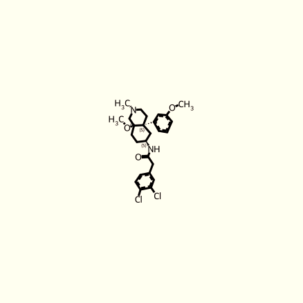 COc1cccc([C@@]23CCN(C)C[C@@]2(OC)CC[C@H](NC(=O)Cc2ccc(Cl)c(Cl)c2)C3)c1